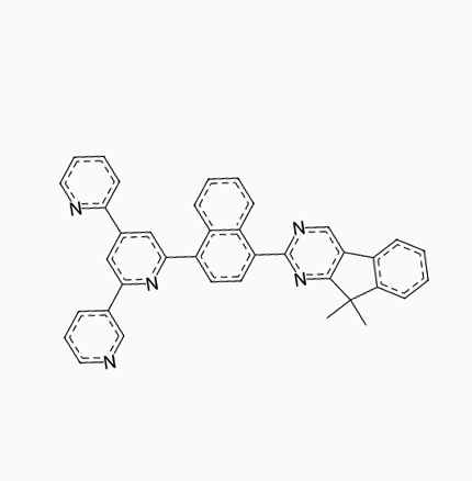 CC1(C)c2ccccc2-c2cnc(-c3ccc(-c4cc(-c5ccccn5)cc(-c5cccnc5)n4)c4ccccc34)nc21